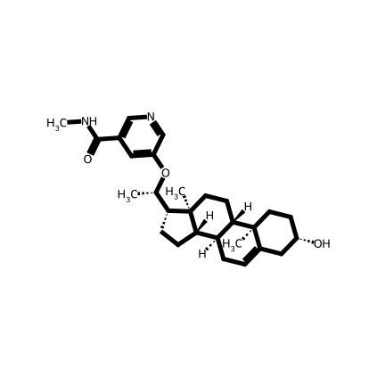 CNC(=O)c1cncc(O[C@@H](C)[C@H]2CC[C@H]3[C@@H]4CC=C5C[C@@H](O)CC[C@]5(C)[C@H]4CC[C@]23C)c1